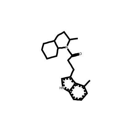 Cc1cccc2[nH]cc(CCC(=O)N3C(C)CCC4CCCCC43)c12